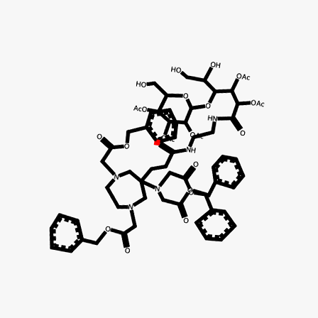 CC(=O)OC(C(=O)NCCNC(=O)CCC1(N(CC(=O)OCc2ccccc2)CC(=O)OCc2ccccc2)CN(CC(=O)OCc2ccccc2)CCN(CC(=O)OCc2ccccc2)C1)C(OC(C)=O)C(OC1OC(CO)C(OC(C)=O)C(OC(C)=O)C1OC(C)=O)C(O)CO